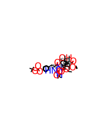 C=COC(=O)[C@H]1[C@H]2[C@@H]1[C@@](NC(=O)[C@H](Cc1ccc(OC(=O)OC(C)(C)C)cc1)NC(=O)OC(C)(C)C)(C(=O)OCC)C[C@@H]2O